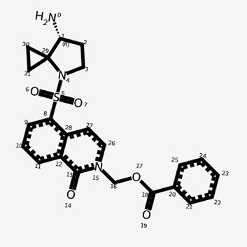 N[C@@H]1CCN(S(=O)(=O)c2cccc3c(=O)n(COC(=O)c4ccccc4)ccc23)C12CC2